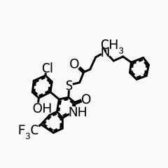 CN(CCC(=O)CSc1c(-c2cc(Cl)ccc2O)c2cc(C(F)(F)F)ccc2[nH]c1=O)CCc1ccccc1